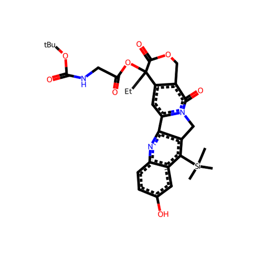 CCC1(OC(=O)CNC(=O)OC(C)(C)C)C(=O)OCc2c1cc1n(c2=O)Cc2c-1nc1ccc(O)cc1c2[Si](C)(C)C